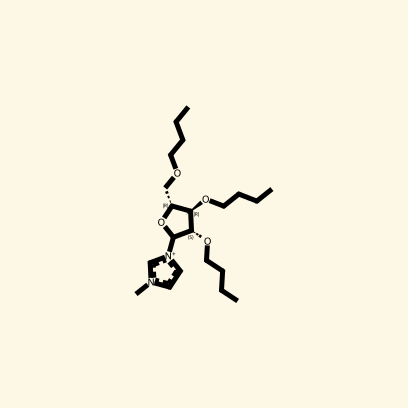 CCCCOC[C@H]1OC([n+]2ccn(C)c2)[C@@H](OCCCC)[C@@H]1OCCCC